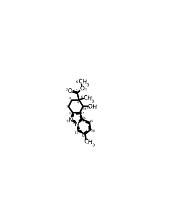 COC(=O)C1(C)CCc2nn3cc(C)ccc3c2C1O